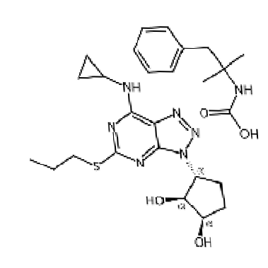 CC(C)(Cc1ccccc1)NC(=O)O.CCCSc1nc(NC2CC2)c2nnn([C@@H]3CC[C@@H](O)[C@H]3O)c2n1